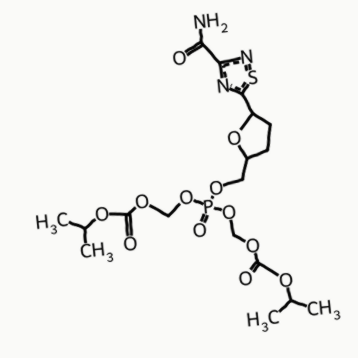 CC(C)OC(=O)OCOP(=O)(OCOC(=O)OC(C)C)OCC1CCC(c2nc(C(N)=O)ns2)O1